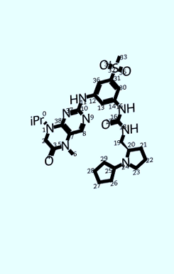 CC(C)N1CC(=O)N(C)c2cnc(Nc3cc(NC(=O)NC[C@H]4CCCN4C4CCCC4)cc(S(C)(=O)=O)c3)nc21